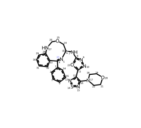 c1ccc(/C2=N/[C@H](Nc3nnc(-c4nsnc4N4CCOCC4)o3)COCNc3ccccc32)cc1